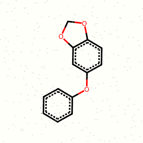 [c]1ccc(Oc2ccc3c(c2)OCO3)cc1